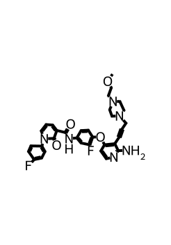 COCCN1CCN(CC#Cc2c(Oc3ccc(NC(=O)c4cccn(-c5ccc(F)cc5)c4=O)cc3F)ccnc2N)CC1